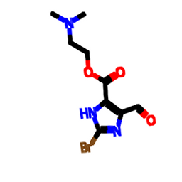 CN(C)CCOC(=O)c1[nH]c(Br)nc1C=O